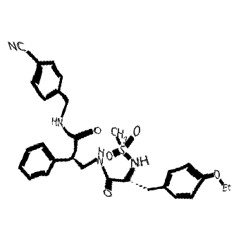 CCOc1ccc(C[C@@H](NS(C)(=O)=O)C(=O)NC[C@H](C(=O)NCc2ccc(C#N)cc2)c2ccccc2)cc1